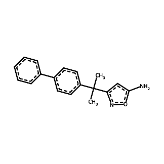 CC(C)(c1ccc(-c2ccccc2)cc1)c1cc(N)on1